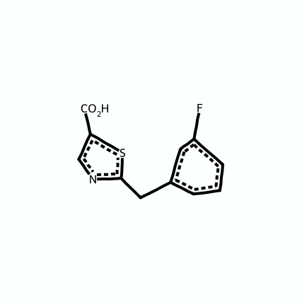 O=C(O)c1cnc(Cc2cccc(F)c2)s1